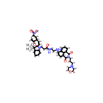 CC1(C)c2ccccc2N(CCC(=O)NCCNc2ccc3c4c(cccc24)C(=O)N(CCCN2CCOCC2)C3=O)C12C=Cc1cc([N+](=O)[O-])ccc1O2